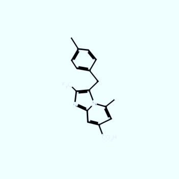 Cc1ccc(Cc2c(C(F)(F)F)nc3cc(C(=O)O)cc(C)n23)cc1